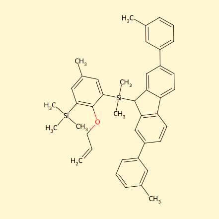 C=CCOc1c([Si](C)(C)C)cc(C)cc1[Si](C)(C)C1c2cc(-c3cccc(C)c3)ccc2-c2ccc(-c3cccc(C)c3)cc21